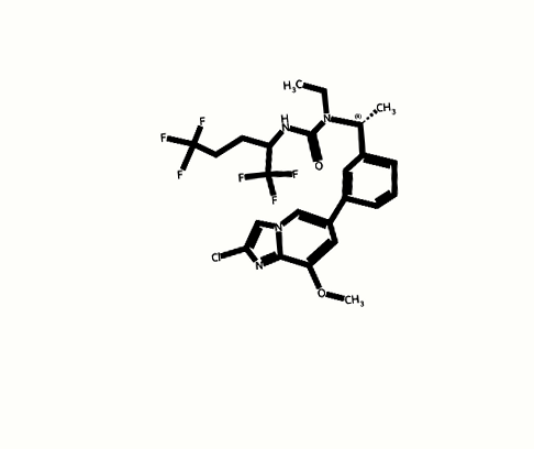 CCN(C(=O)NC(CCC(F)(F)F)C(F)(F)F)[C@H](C)c1cccc(-c2cc(OC)c3nc(Cl)cn3c2)c1